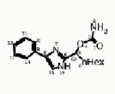 CCCCCC[C@H](OC(N)=O)c1nc(-c2ccccc2)c[nH]1